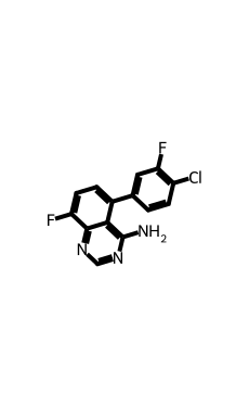 Nc1ncnc2c(F)ccc(-c3ccc(Cl)c(F)c3)c12